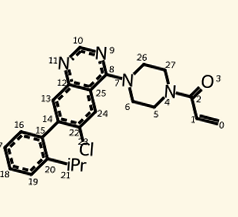 C=CC(=O)N1CCN(c2ncnc3cc(-c4ccccc4C(C)C)c(Cl)cc23)CC1